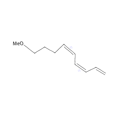 C=C/C=C\C=C/CCCOC